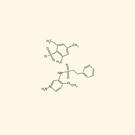 COc1cc[n+](N)cc1NS(=O)(=O)CCc1ccccc1.Cc1cc(C)c(S(=O)(=O)[O-])c(C)c1